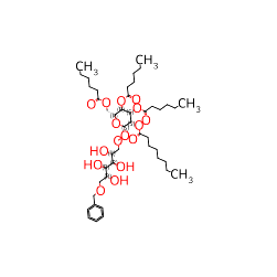 CCCCCCCC(=O)O[C@@H]1[C@H](OOC[C@@H](O)[C@@H](O)[C@H](O)[C@H](O)COCc2ccccc2)O[C@H](COC(=O)CCCCC)[C@@H](OC(=O)CCCCC)[C@@H]1OC(=O)CCCCC